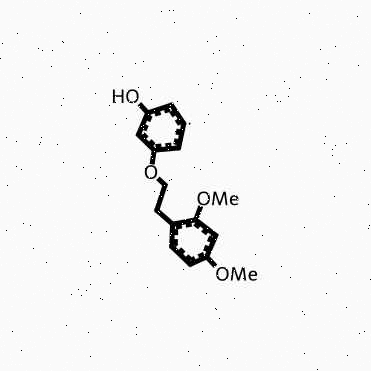 COc1ccc(CCOc2c[c]cc(O)c2)c(OC)c1